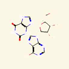 O=c1[nH]c(=O)c2[nH]cnc2[nH]1.OC[C@H]1O[C@@H](n2cnc3c(O)ncnc32)[C@H](O)[C@@H]1O